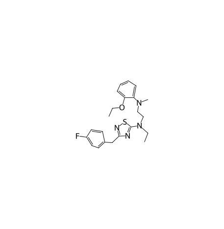 CCOc1ccccc1N(C)CCN(CC)c1nc(Cc2ccc(F)cc2)ns1